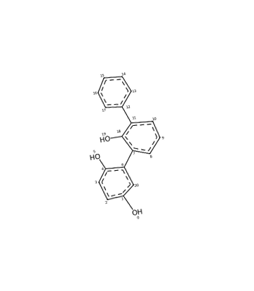 Oc1ccc(O)c(-c2cccc(-c3ccccc3)c2O)c1